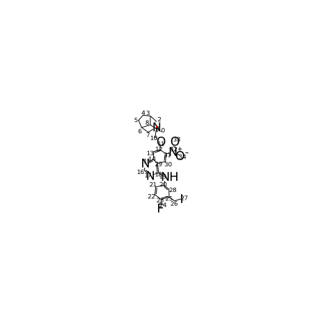 CN1CC2CCC(C1)C2CCOc1cc2ncnc(Nc3ccc(F)c(CI)c3)c2cc1[N+](=O)[O-]